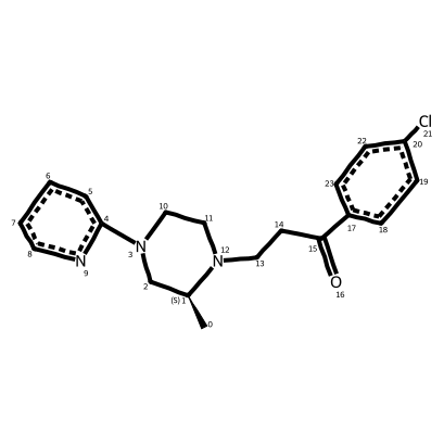 C[C@H]1CN(c2ccccn2)CCN1CCC(=O)c1ccc(Cl)cc1